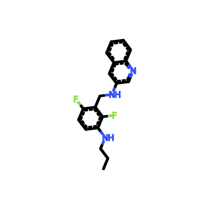 CCCNc1ccc(F)c(CNc2cnc3ccccc3c2)c1F